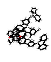 Cc1cc(-c2c(-n3c4cc(-n5c6ccccc6c6ccccc65)ccc4c4ccc(-n5c6ccccc6c6ccccc65)cc43)cc(C#N)cc2-n2c3cc(-n4c5ccccc5c5ccccc54)ccc3c3ccc(-n4c5ccccc5c5ccccc54)cc32)cc(C(F)(F)F)c1